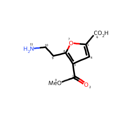 COC(=O)c1cc(C(=O)O)oc1CCN